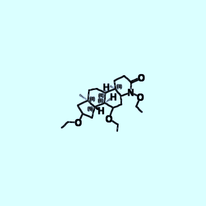 CCOC1C[C@H]2[C@@H]3C(OCC)CC4N(OCC)C(=O)CC[C@]4(C)[C@@H]3CC[C@]2(C)C1